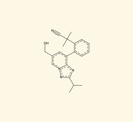 CC(C)c1nc2c(-c3ccccc3C(C)(C)C#N)cc(CO)cn2n1